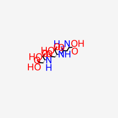 N[C@H](CC(=O)N[C@H](CC(=O)N[C@H](CC(=O)O)C(=O)O)C(=O)O)C(=O)O